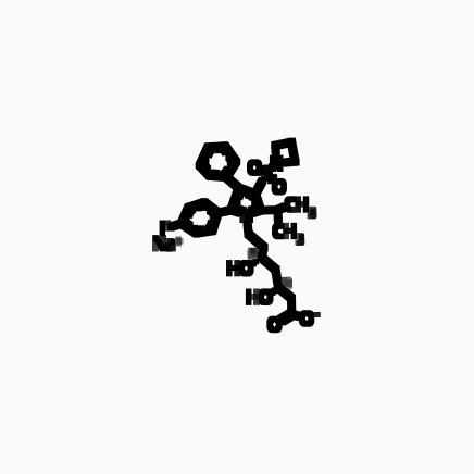 CC(C)c1c(S(=O)(=O)N2CCC2)c(-c2ccccc2)c(-c2ccc(F)cc2)n1CC[C@@H](O)C[C@@H](O)CC(=O)[O-].[Na+]